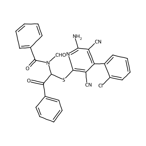 N#Cc1c(N)nc(SC(C(=O)c2ccccc2)N(C=O)C(=O)c2ccccc2)c(C#N)c1-c1ccccc1Cl